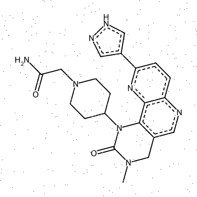 CN1Cc2cnc3ccc(-c4cn[nH]c4)nc3c2N(C2CCN(CC(N)=O)CC2)C1=O